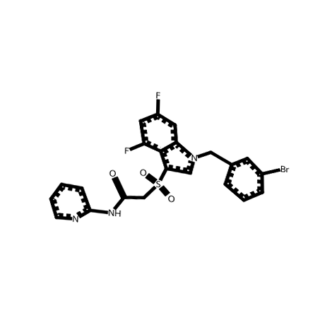 O=C(CS(=O)(=O)c1cn(Cc2cccc(Br)c2)c2cc(F)cc(F)c12)Nc1ccccn1